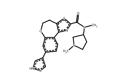 CN1CCC(N(C)C(=O)c2nc3c(s2)CCOc2cc(-c4cn[nH]c4)ccc2-3)C1